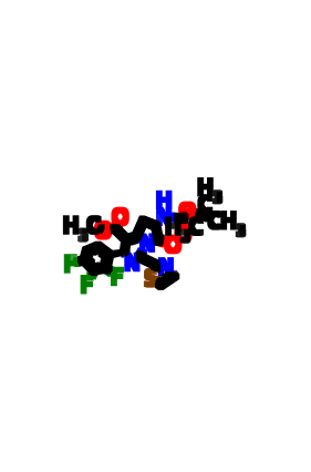 COC(=O)C1=C2C[C@H](NC(=O)OC(C)(C)C)C(=O)N2C(c2nccs2)=N[C@H]1c1ccc(F)c(F)c1F